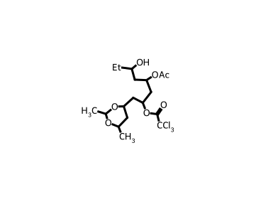 CCC(O)CC(CC(CC1CC(C)OC(C)O1)OC(=O)C(Cl)(Cl)Cl)OC(C)=O